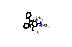 C=CC(c1ccccc1)C1(C)C(c2ccccc2)=C(CC)C=C(C(=O)NC)C1C